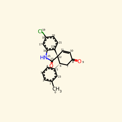 Cc1cccc([C@H]2CC(=O)C=C[C@@]23C(=O)Nc2cc(Cl)ccc23)c1